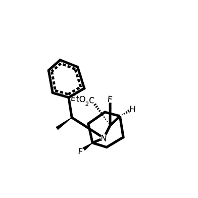 CCOC(=O)[C@]1(F)[C@H]2CC[C@@](F)(CC2)N1[C@@H](C)c1ccccc1